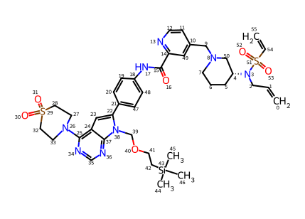 C=CCN([C@@H]1CCCN(Cc2ccnc(C(=O)Nc3ccc(-c4cc5c(N6CCS(=O)(=O)CC6)ncnc5n4COCC[Si](C)(C)C)cc3)c2)C1)S(=O)(=O)C=C